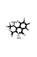 CN[C@H]1c2c([nH]c(=O)c3c(F)c(F)c(F)c(F)c23)C(=O)OC1(F)F.Cl